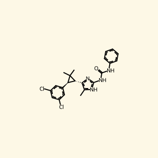 Cc1[nH]c(NC(=O)Nc2ccccc2)nc1[C@@H]1[C@@H](c2cc(Cl)cc(Cl)c2)C1(C)C